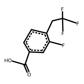 O=C(O)c1ccc(CC(F)(F)F)c(F)c1